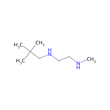 CNCCNCC(C)(C)C